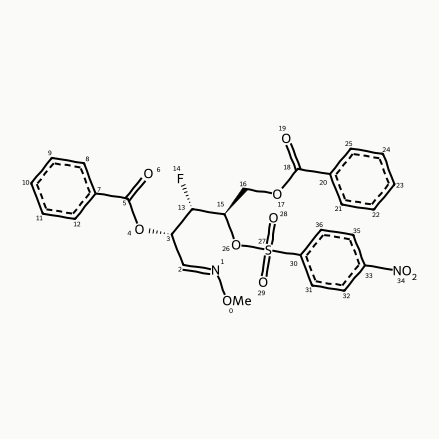 CON=C[C@H](OC(=O)c1ccccc1)[C@H](F)[C@@H](COC(=O)c1ccccc1)OS(=O)(=O)c1ccc([N+](=O)[O-])cc1